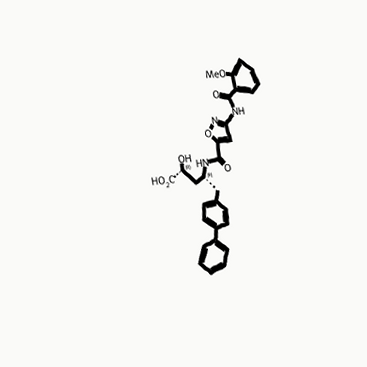 COc1ccccc1C(=O)Nc1cc(C(=O)N[C@H](Cc2ccc(-c3ccccc3)cc2)C[C@@H](O)C(=O)O)on1